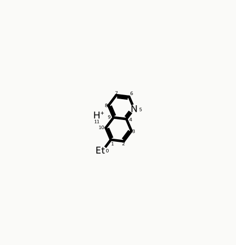 [CH2]Cc1ccc2ncccc2c1.[H+]